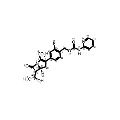 C[C@@H](O)[C@H]1C(=O)N2C(C(=O)O)=C(c3ccc(COC(=O)Nc4ccccn4)c(F)c3)C[C@H]12